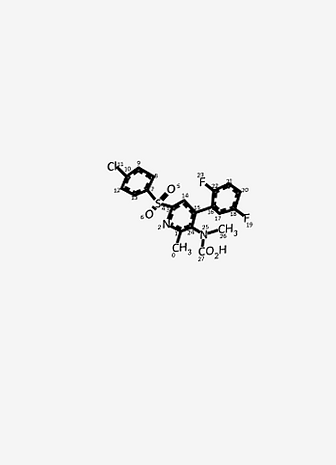 Cc1nc(S(=O)(=O)c2ccc(Cl)cc2)cc(-c2cc(F)ccc2F)c1N(C)C(=O)O